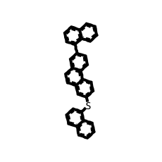 c1ccc2c(Sc3ccc4c(ccc5cc(-c6cccc7ccccc67)ccc54)c3)cccc2c1